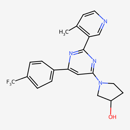 Cc1ccncc1-c1nc(-c2ccc(C(F)(F)F)cc2)cc(N2CCC(O)C2)n1